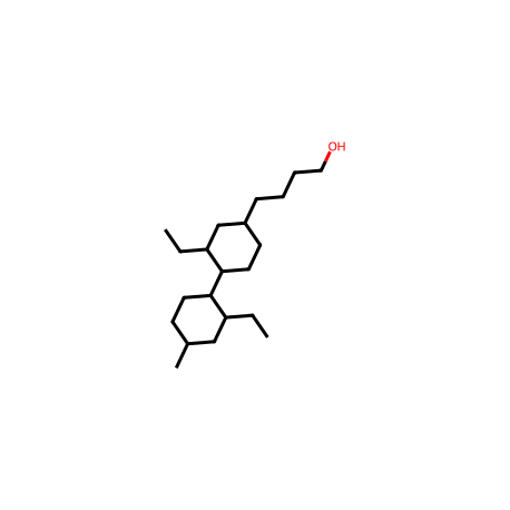 CCC1CC(C)CCC1C1CCC(CCCCO)CC1CC